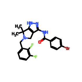 CC1(C)c2[nH]nc(NC(=O)c3ccc(Br)cc3)c2CN1Cc1cccc(F)c1F